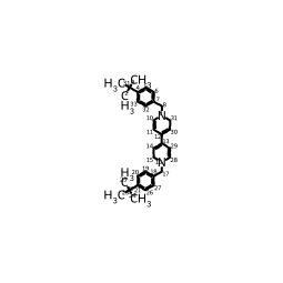 CC(C)(C)c1ccc(CN2C=CC(C3=CCN(Cc4ccc(C(C)(C)C)cc4)C=C3)=CC2)cc1